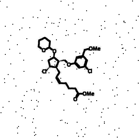 COCc1cc(Cl)cc(OC[C@@H]2[C@@H](C/C=C\CCCC(=O)OC)[C@H](Cl)C[C@H]2OC2CCCCO2)c1